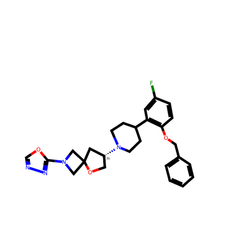 Fc1ccc(OCc2ccccc2)c(C2CCN([C@@H]3COC4(C3)CN(c3nnco3)C4)CC2)c1